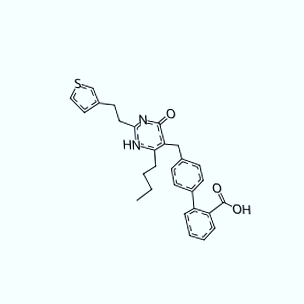 CCCCc1[nH]c(CCc2ccsc2)nc(=O)c1Cc1ccc(-c2ccccc2C(=O)O)cc1